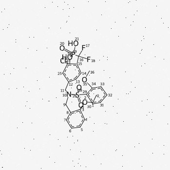 CCOc1ccccc1CN(Cc1ccc(C(F)(F)P(=O)(O)O)c(Cl)c1)S(=O)(=O)c1ccccc1OC